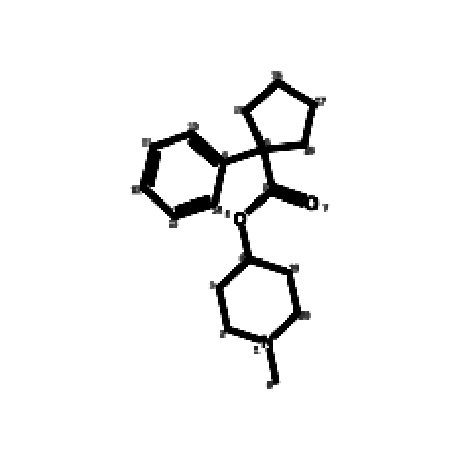 CN1CCC(OC(=O)C2(c3ccccc3)CCCC2)CC1